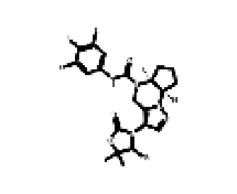 CC(C)C1N(c2cnn3c2CN(C(=O)Nc2cc(F)c(F)c(F)c2)[C@H]2CCC[C@H]23)C(=O)OC1(C)C